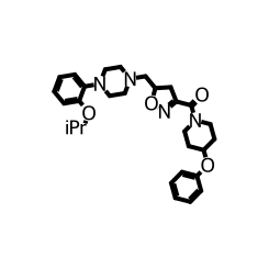 CC(C)Oc1ccccc1N1CCN(CC2CC(C(=O)N3CCC(Oc4ccccc4)CC3)=NO2)CC1